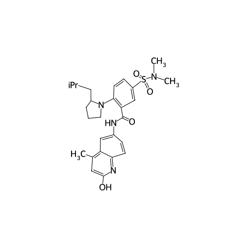 Cc1cc(O)nc2ccc(NC(=O)c3cc(S(=O)(=O)N(C)C)ccc3N3CCCC3CC(C)C)cc12